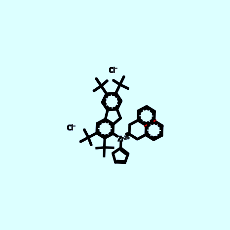 CC(C)(C)c1cc2c(cc1C(C)(C)C)-c1cc(C(C)(C)C)c(C(C)(C)C)[c]([Zr+2]([C]3=CC=CC3)=[C](Cc3ccccc3)Cc3ccccc3)c1C2.[Cl-].[Cl-]